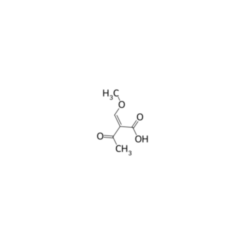 COC=C(C(C)=O)C(=O)O